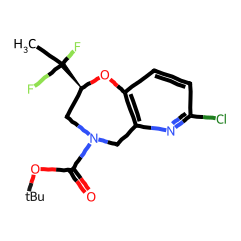 CC(C)(C)OC(=O)N1Cc2nc(Cl)ccc2O[C@H](C(C)(F)F)C1